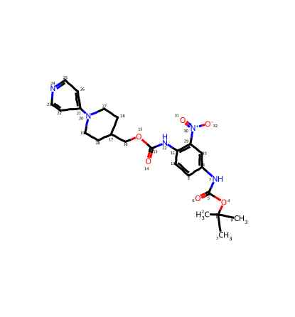 CC(C)(C)OC(=O)Nc1ccc(NC(=O)OCC2CCN(c3ccncc3)CC2)c([N+](=O)[O-])c1